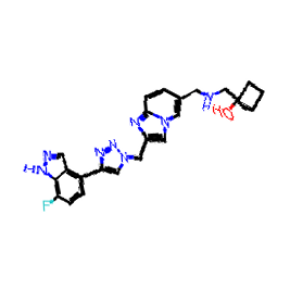 OC1(CNCc2ccc3nc(Cn4cc(-c5ccc(F)c6[nH]ncc56)nn4)cn3c2)CCC1